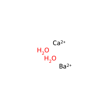 O.O.[Ba+2].[Ca+2]